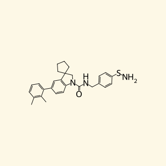 Cc1cccc(-c2ccc3c(c2)C2(CCCC2)CN3C(=O)NCc2ccc(SN)cc2)c1C